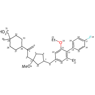 C=C(CC1(OC)CCC(Cc2cc(CC)c(-c3ccc(F)cc3)c(OCC)c2)C1)C1CCC(C)(C(=O)O)CC1